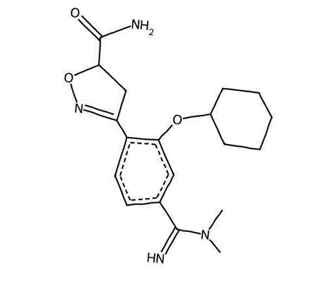 CN(C)C(=N)c1ccc(C2=NOC(C(N)=O)C2)c(OC2CCCCC2)c1